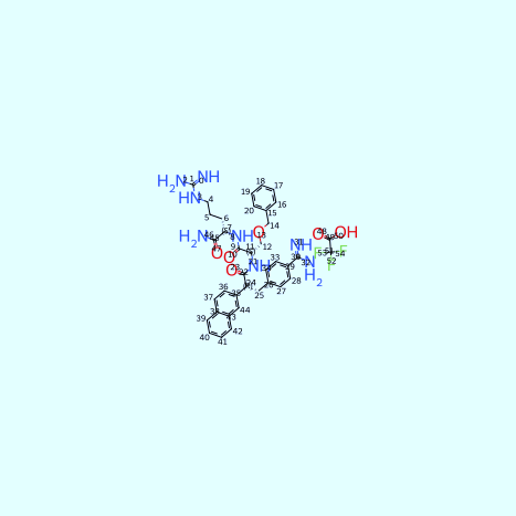 N=C(N)NCCC[C@H](NC(=O)[C@H](COCc1ccccc1)NC(=O)[C@H](Cc1ccc(C(=N)N)cc1)c1ccc2ccccc2c1)C(N)=O.O=C(O)C(F)(F)F